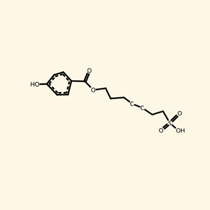 O=C(OCCCCCCCS(=O)(=O)O)c1ccc(O)cc1